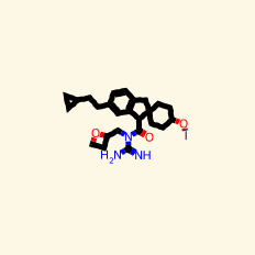 N=C(N)N(CC1CCO1)C(=O)C1c2cc(CCC3CC3)ccc2CC12CCC(OI)CC2